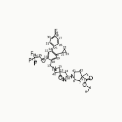 CCOC(=O)C1(C)CCN(C2=NOC3(C2)CN(Cc2cc(C4CC4)c(-c4ccc(F)cc4)cc2OCC(F)(F)F)C3)CC1